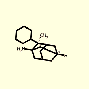 C[C@]1(C2CCCCC2)C2CC3C[C@@H](C2)CC1(N)C3